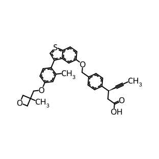 CC#C[C@@H](CC(=O)O)c1ccc(COc2ccc3scc(-c4ccc(OCC5(C)COC5)cc4C)c3c2)cc1